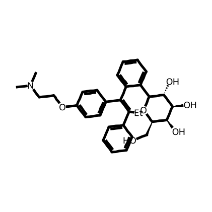 CCC(=C(c1ccc(OCCN(C)C)cc1)c1ccccc1C1O[C@H](CO)[C@H](O)[C@H](O)[C@H]1O)c1ccccc1